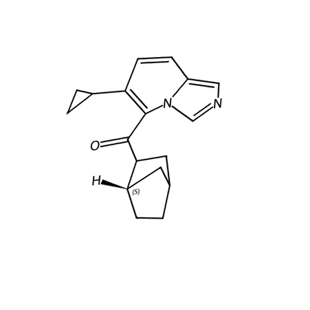 O=C(c1c(C2CC2)ccc2cncn12)C1CC2CC[C@H]1C2